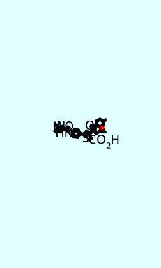 Cc1cc(C(=O)Nc2ccc(-c3cc(N(CC4CC4)C(=O)C4CCC(C)CC4)c(C(=O)O)s3)cc2)nn1C